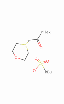 CCCCCCC(=O)C[S+]1CCOCC1.CCCCS(=O)(=O)[O-]